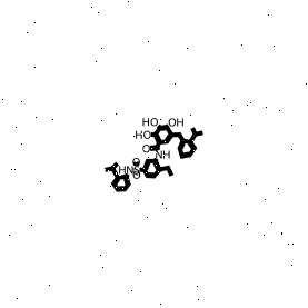 CCc1ccc(S(=O)(=O)Nc2ccccc2C(C)C)cc1NC(=O)c1cc(Cc2ccccc2C(C)C)c(O)c(O)c1O